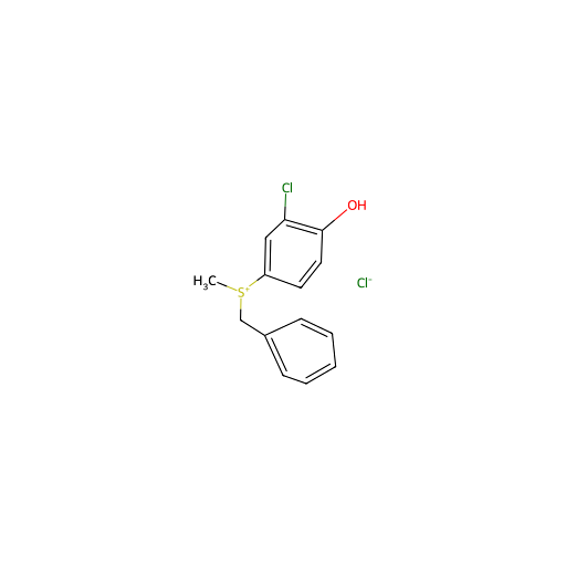 C[S+](Cc1ccccc1)c1ccc(O)c(Cl)c1.[Cl-]